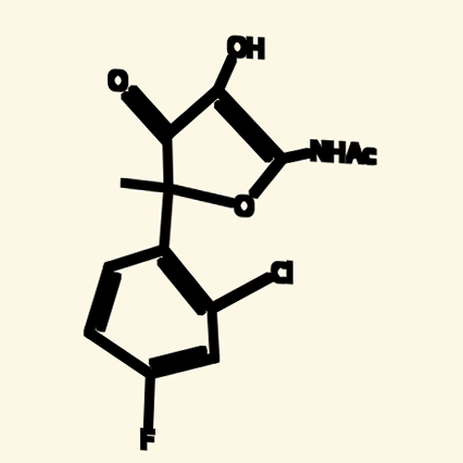 CC(=O)NC1=C(O)C(=O)C(C)(c2ccc(F)cc2Cl)O1